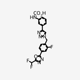 O=C(O)Nc1cccc(-c2cn(Cc3ccc(-c4nnc(C(F)F)o4)cc3F)nn2)c1